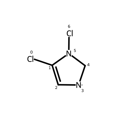 ClC1=C[N]CN1Cl